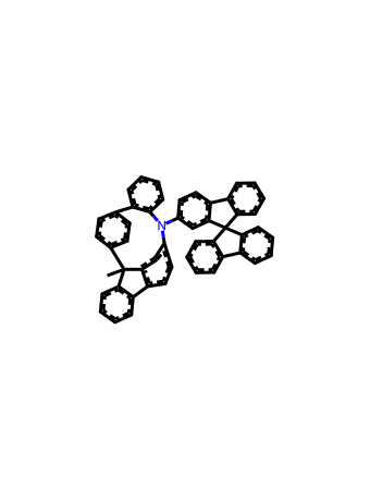 CC12c3ccc(cc3)-c3ccccc3N(c3ccc4c(c3)C3(c5ccccc5-c5ccccc53)c3ccccc3-4)c3ccc(c1c3)-c1ccccc12